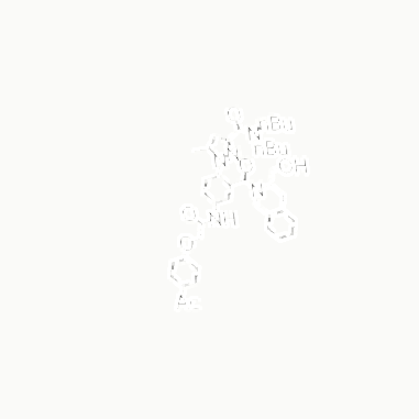 CCCCN(CCCC)C(=O)c1cc(C)n(-c2ccc(NC(=O)COc3ccc(C(C)=O)cc3)cc2C(=O)N2Cc3ccccc3C[C@H]2CO)n1